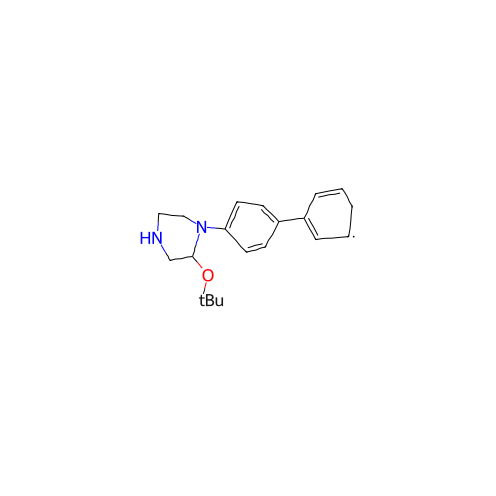 CC(C)(C)OC1CNCCN1c1ccc(C2=C[CH]CC=C2)cc1